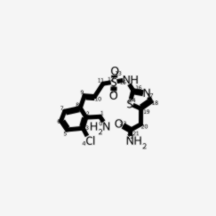 NCc1c(Cl)cccc1C=CCS(=O)(=O)Nc1ncc(CC(N)=O)s1